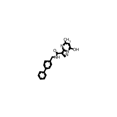 Cc1cc(O)n2ncc(C(=O)NCc3ccc(-c4ccccc4)cc3)c2n1